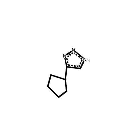 c1[nH]nnc1[C]1CCCC1